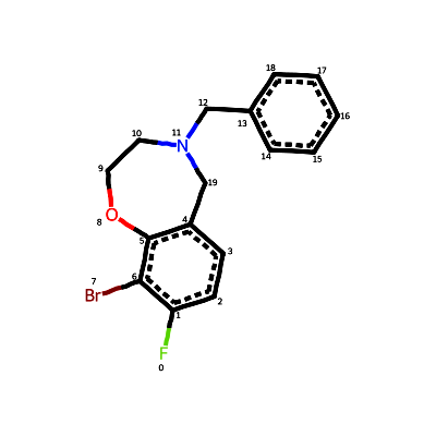 Fc1ccc2c(c1Br)OCCN(Cc1ccccc1)C2